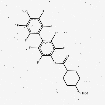 CCCCCCCC1CCC(C(=O)Oc2c(F)c(F)c(-c3c(F)c(F)c(CCCC)c(F)c3F)c(F)c2F)CC1